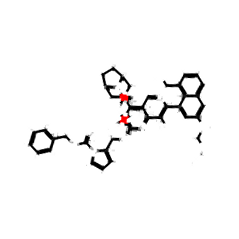 CCc1cccc2cc(OCOC)cc(-c3ncc4c(N5CC6CCC(C5)N6C(=O)OC(C)(C)C)nc(OCc5cccn5C(=O)OCc5ccccc5)nc4c3F)c12